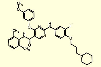 Cc1cccc(C)c1NC(=O)c1cnc(Nc2ccc(OCCCN3CCCCC3)c(F)c2)nc1Oc1cccc(OC(F)(F)F)c1